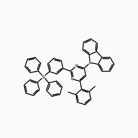 Cc1cccc(C)c1-c1cc(-n2c3ccccc3c3ccccc32)nc(-c2cccc([Si](c3ccccc3)(c3ccccc3)c3ccccc3)c2)n1